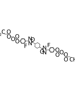 C=CC(=O)OCOC(=O)Oc1ccc(-c2noc(C3CCC(c4nc(-c5ccc(OC(=O)OCOC(=O)C=C)cc5F)no4)CC3)n2)c(F)c1